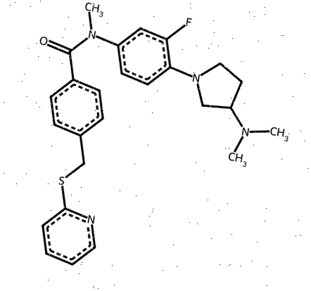 CN(C(=O)c1ccc(CSc2ccccn2)cc1)c1ccc(N2CCC(N(C)C)C2)c(F)c1